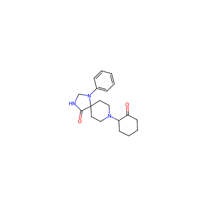 O=C1CCCCC1N1CCC2(CC1)C(=O)NCN2c1ccccc1